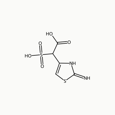 N=c1[nH]c(C(C(=O)O)S(=O)(=O)O)cs1